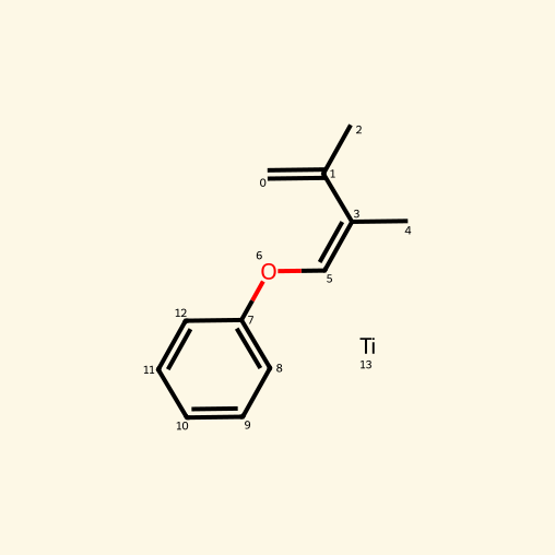 C=C(C)C(C)=COc1ccccc1.[Ti]